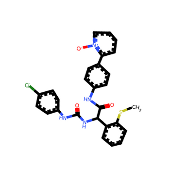 CSc1ccccc1C(NC(=O)Nc1ccc(Cl)cc1)C(=O)Nc1ccc(-c2cccc[n+]2[O-])cc1